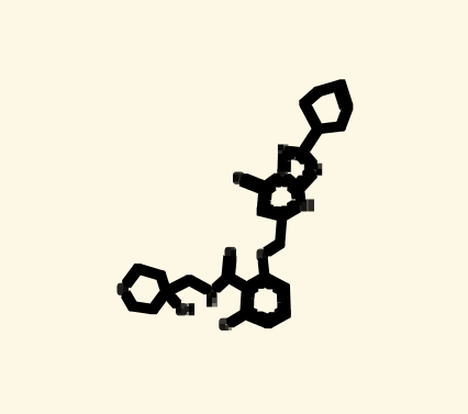 O=C(NCC1(O)CCOCC1)c1c(Cl)cccc1OCc1cc(=O)n2nc(C3CC=CCC3)nc2[nH]1